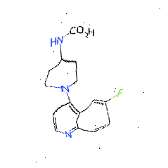 O=C(O)NC1CCN(c2ccnc3ccc(F)cc23)CC1